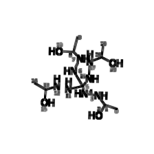 CC(O)NNC(NNC(C)O)(NNC(C)O)NNC(C)O